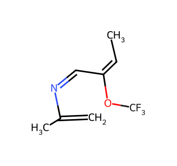 C=C(C)/N=C\C(=C/C)OC(F)(F)F